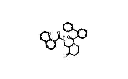 O=C(NCC1C(=O)CCCN1C(=O)c1ccccc1-c1ccccc1)c1cccc2cccnc12